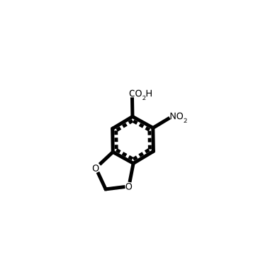 O=C(O)c1cc2c(cc1[N+](=O)[O-])OCO2